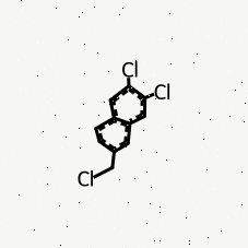 ClCc1ccc2cc(Cl)c(Cl)cc2c1